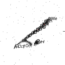 CCCCCCCC/C=C\CCCCCCCCOCC(COCCOCCOCCOCCOCCOCCOCCOC(=O)CNCCOC(=O)CNCCOC)OCCCCCCCC/C=C\CCCCCCCC.O=C(O)C(F)(F)F